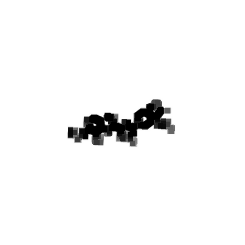 C=N/C(Sc1ccnc(N)c1Cl)=C(N)\N=C(/C)N1CCC2(CC1)CO[C@H](C)[C@H]2N